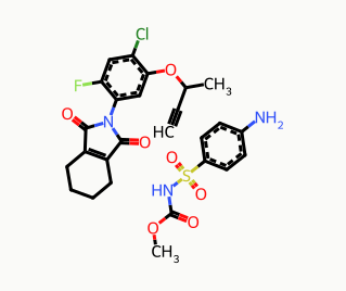 C#CC(C)Oc1cc(N2C(=O)C3=C(CCCC3)C2=O)c(F)cc1Cl.COC(=O)NS(=O)(=O)c1ccc(N)cc1